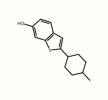 CC1CCC(c2cc3ccc(O)cc3s2)CC1